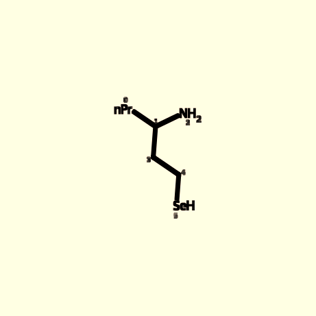 CCCC(N)CC[SeH]